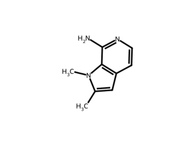 Cc1cc2ccnc(N)c2n1C